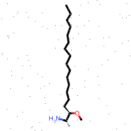 CCCCCCCCCCCCCCC[C@@H](OC)[C@H](C)N